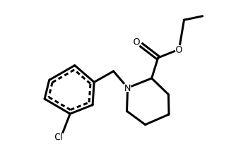 CCOC(=O)C1CCCCN1Cc1cccc(Cl)c1